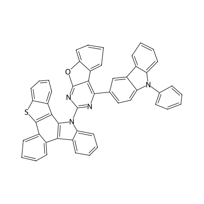 c1ccc(-n2c3ccccc3c3cc(-c4nc(-n5c6ccccc6c6c7ccccc7c7sc8ccccc8c7c65)nc5oc6ccccc6c45)ccc32)cc1